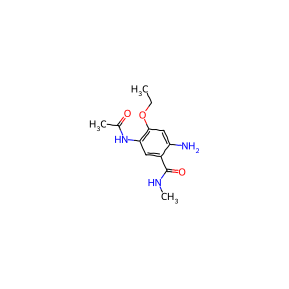 CCOc1cc(N)c(C(=O)NC)cc1NC(C)=O